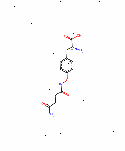 NC(=O)CCC(=O)NOc1ccc(C[C@H](N)C(=O)O)cc1